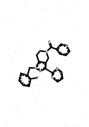 O=C(c1cccnc1)N1CCc2c(c(-c3ncccn3)nn2Cc2ccccc2F)C1